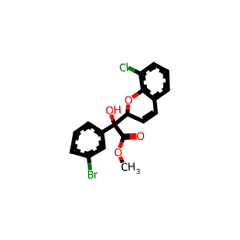 COC(=O)C(O)(c1cccc(Br)c1)C1C=Cc2cccc(Cl)c2O1